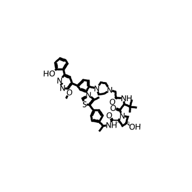 COc1nnc(-c2ccccc2O)cc1-c1ccc(N2CCN(CC(=O)NC(C(=O)N3C[C@H](O)C[C@H]3C(=O)NC(C)c3ccc(-c4scnc4C)cc3)C(C)(C)C)CC2)cc1